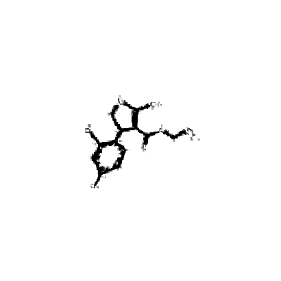 CCOC(=O)C1=C(C)OCC1c1ccc(Cl)cc1Cl